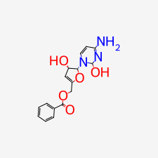 NC1=NC(O)N([C@@H]2OC(COC(=O)c3ccccc3)=C[C@H]2O)C=C1